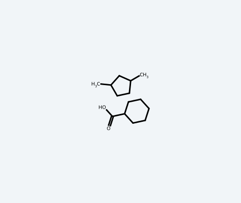 CC1CCC(C)C1.O=C(O)C1CCCCC1